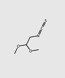 COC(CN=C=S)OC